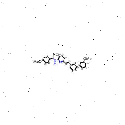 COc1ccc(CNc2nc(/C=C/c3cccc(-c4cccc(OC)c4)c3)ccc2C#N)cc1